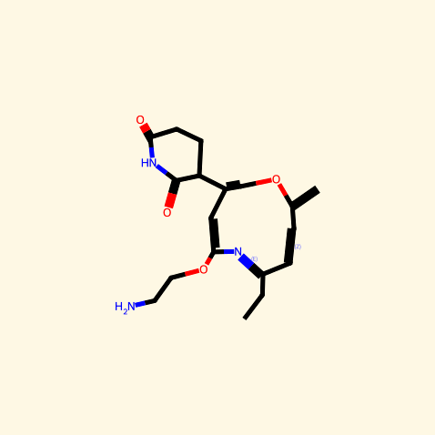 C=C1/C=C\C(CC)=N\C(OCCN)=CC(C2CCC(=O)NC2=O)=CO1